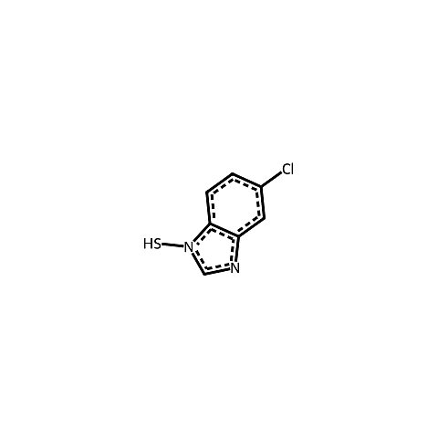 Sn1cnc2cc(Cl)ccc21